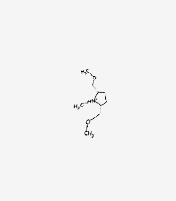 [CH2-][NH+]1[C@@H](COC)CC[C@H]1COC